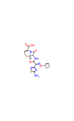 Nc1nc(C(=NOC2C=CCC2)C(=O)NC2C(=O)N3C(C(=O)O)=CCS[C@@H]23)ns1